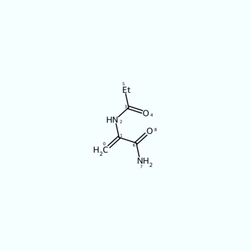 C=C(NC(=O)CC)C(N)=O